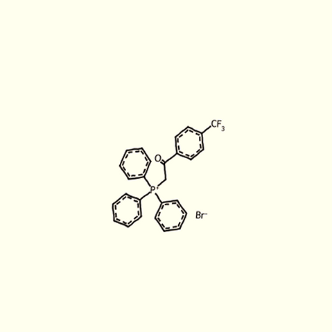 O=C(C[P+](c1ccccc1)(c1ccccc1)c1ccccc1)c1ccc(C(F)(F)F)cc1.[Br-]